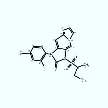 CCC(C)S(=O)(=O)n1c(=O)n(-c2ccc(Br)cc2F)c2cc3nccn3nc21